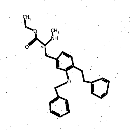 CCOC(=O)[C@H](Cc1ccc(CCc2ccccc2)c(OCc2ccccc2)c1)NC